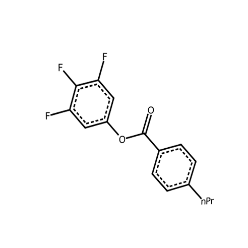 CCCc1ccc(C(=O)Oc2cc(F)c(F)c(F)c2)cc1